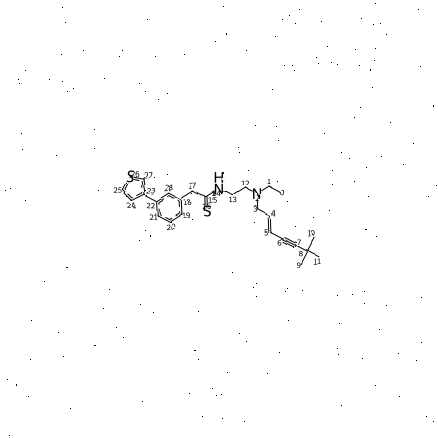 CCN(CC=CC#CC(C)(C)C)CCNC(=S)Cc1cccc(-c2ccsc2)c1